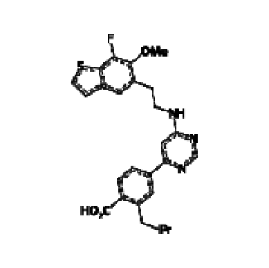 COc1c(CCNc2cc(-c3ccc(C(=O)O)c(CC(C)C)c3)ncn2)cc2ccsc2c1F